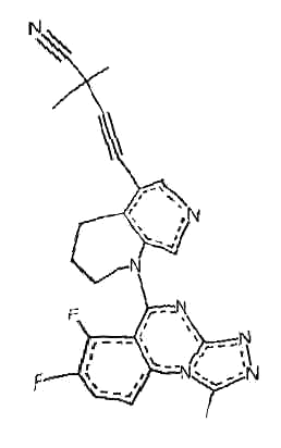 Cc1nnc2nc(N3CCCc4c(C#CC(C)(C)C#N)cncc43)c3c(F)c(F)ccc3n12